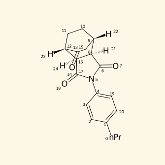 CCCc1ccc(N2C(=O)[C@@H]3[C@H]4CC[C@H](C(=O)C4)[C@@H]3C2=O)cc1